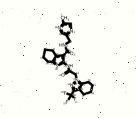 Cc1cnc(CNC(=O)c2c(NC(=O)Cn3nc(C(F)(F)F)c4c3CCCC4)sc3c2CCCC3)cn1